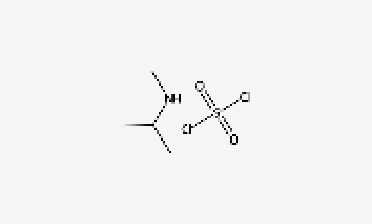 CNC(C)C.O=S(=O)(Cl)Cl